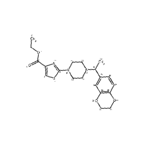 CCOC(=O)c1csc(N2CCN(C(C)c3ccc4c(c3)OCCO4)CC2)n1